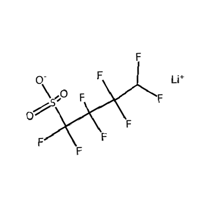 O=S(=O)([O-])C(F)(F)C(F)(F)C(F)(F)C(F)F.[Li+]